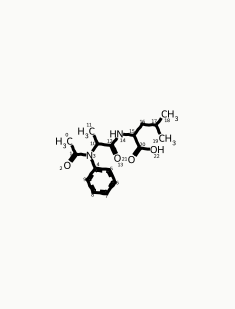 CC(=O)N(c1ccccc1)C(C)C(=O)NC(CC(C)C)C(=O)O